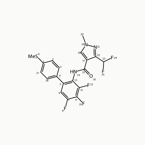 CSc1ccc(-c2cc(F)c(F)c(F)c2NC(=O)c2cn(C)nc2C(F)F)cc1